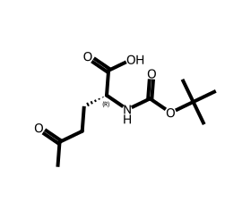 CC(=O)CC[C@@H](NC(=O)OC(C)(C)C)C(=O)O